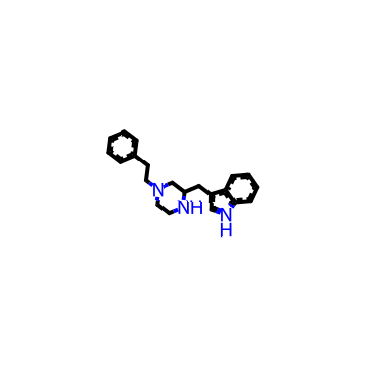 c1ccc(CCN2CCNC(Cc3c[nH]c4ccccc34)C2)cc1